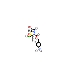 C[C@]1(CCl)[C@H](C(=O)OCc2ccc([N+](=O)[O-])cc2)N2C(=O)C(Br)[C@@H]2[S+]1[O-]